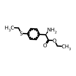 CCOC(=O)[C@H](N)c1ccc(SCC)cc1